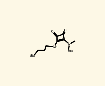 CN(c1c(NCCCC(C)(C)C)c(=O)c1=O)C(C)(C)C